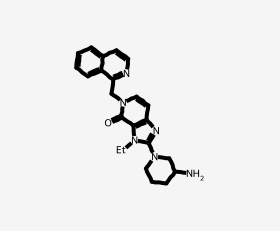 CCn1c(N2CCCC(N)C2)nc2ccn(Cc3nccc4ccccc34)c(=O)c21